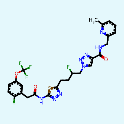 Cc1cccc(CNC(=O)c2cn(CC(F)CCc3nnc(NC(=O)Cc4cc(OC(F)(F)F)ccc4F)s3)nn2)n1